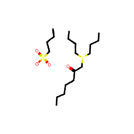 CCCCCC(=O)C[S+](CCCC)CCCC.CCCCS(=O)(=O)[O-]